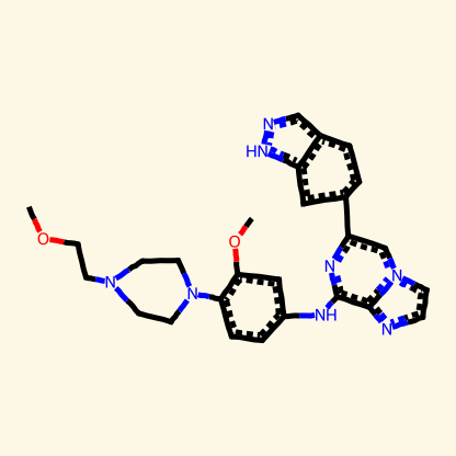 COCCN1CCN(c2ccc(Nc3nc(-c4ccc5cn[nH]c5c4)cn4ccnc34)cc2OC)CC1